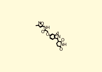 Cc1cc(NC(=O)COc2ccc3c(C4CCC(=O)NC4=O)nn(C)c3c2)on1